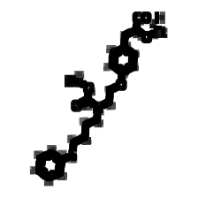 CCOC(Cc1ccc(OCCN(CCCCSc2ccccc2)C(=O)OC(C)CC)cc1)C(=O)O